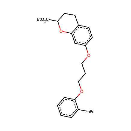 CCCc1ccccc1OCCCOc1ccc2c(c1)OC(C(=O)OCC)CC2